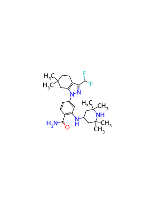 CC1(C)CCc2c(C(F)F)nn(-c3ccc(C(N)=O)c(NC4CC(C)(C)NC(C)(C)C4)c3)c2C1